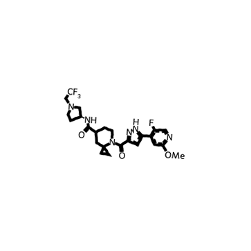 COc1cc(-c2cc(C(=O)N3CCC(C(=O)N[C@@H]4CCN(CC(F)(F)F)C4)CC34CC4)n[nH]2)c(F)cn1